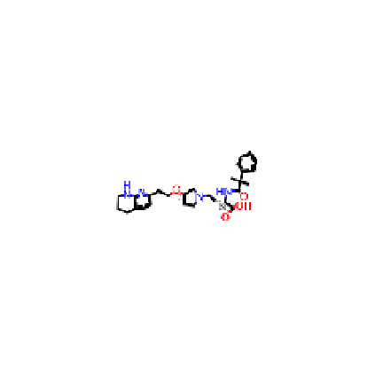 CC(C)(C(=O)N[C@@H](CCN1CC[C@@H](OCCc2ccc3c(n2)NCCC3)C1)C(=O)O)c1ccccc1